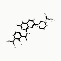 Cc1nc(NC(C)c2cccc(C(F)F)c2F)c2cc(N3CCC[C@@H](C(N)=O)C3)ncc2n1